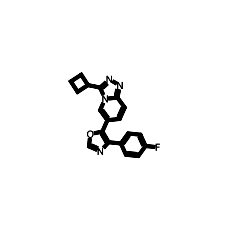 Fc1ccc(-c2ncoc2-c2ccc3nnc(C4CCC4)n3c2)cc1